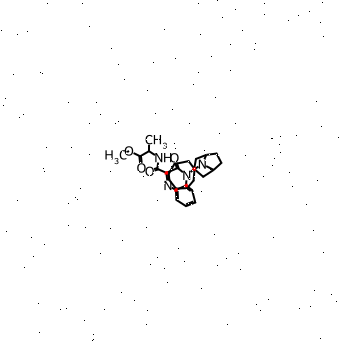 COC(=O)C(C)NC(=O)c1nc2ccccc2n(C2CC3CCC(C2)N3C2CCCCCCC2)c1=O